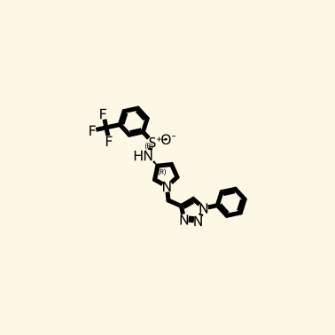 [O-][S@+](N[C@@H]1CCN(Cc2cn(-c3ccccc3)nn2)C1)c1cccc(C(F)(F)F)c1